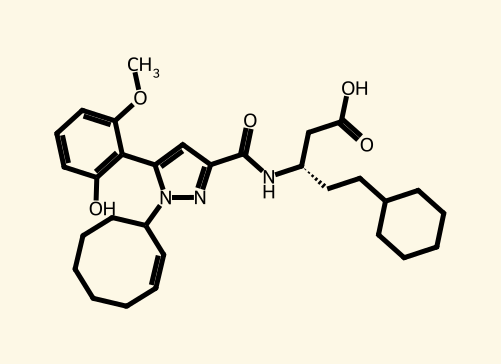 COc1cccc(O)c1-c1cc(C(=O)N[C@@H](CCC2CCCCC2)CC(=O)O)nn1C1/C=C\CCCCC1